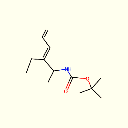 C=C/C=C(\CC)C(C)NC(=O)OC(C)(C)C